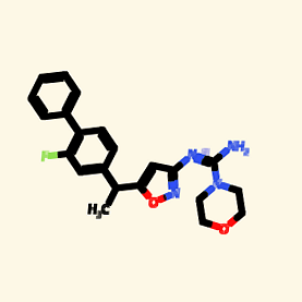 CC(c1ccc(-c2ccccc2)c(F)c1)c1cc(/N=C(/N)N2CCOCC2)no1